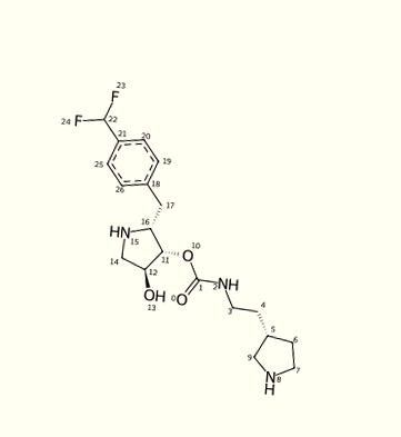 O=C(NCC[C@@H]1CCNC1)O[C@@H]1[C@@H](O)CN[C@@H]1Cc1ccc(C(F)F)cc1